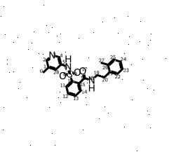 Cc1cncc(NS(=O)(=O)c2ccccc2C(=O)NCCc2ccccc2C)c1